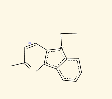 C=C(C)/C=C\c1c(C)c2ccccc2n1CC